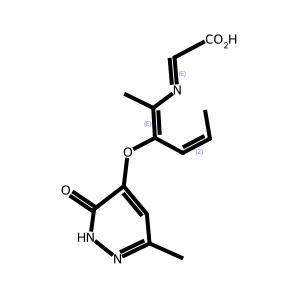 C\C=C/C(Oc1cc(C)n[nH]c1=O)=C(C)\N=C\C(=O)O